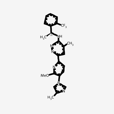 COc1nc(-c2cc(C)c(N[C@@H](C)c3ccccc3C(F)(F)F)nn2)ccc1-n1cnc(C)c1